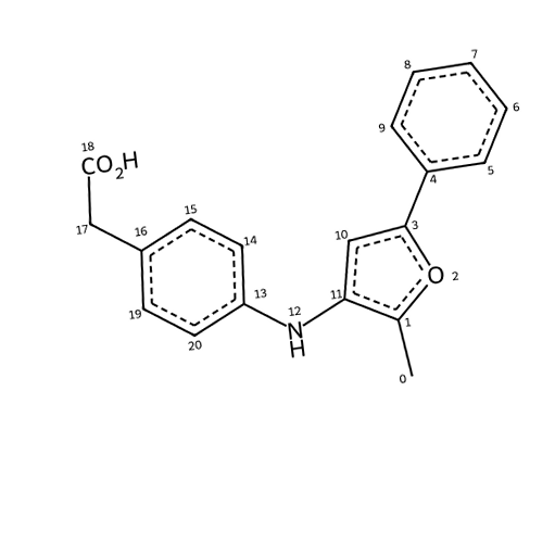 Cc1oc(-c2ccccc2)cc1Nc1ccc(CC(=O)O)cc1